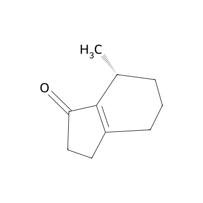 C[C@@H]1CCCC2=C1C(=O)CC2